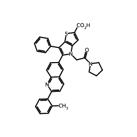 Cc1ccccc1-c1ccc2cc(-c3c(-c4ccccc4)c4sc(C(=O)O)cc4n3CC(=O)N3CCCC3)ccc2n1